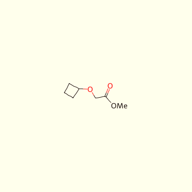 COC(=O)COC1CCC1